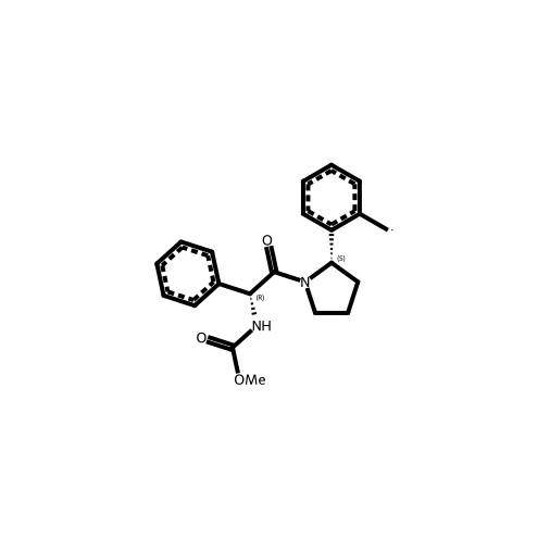 [CH2]c1ccccc1[C@@H]1CCCN1C(=O)[C@H](NC(=O)OC)c1ccccc1